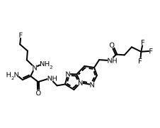 N/C=C(/C(=O)NCc1cn2ncc(CNC(=O)CCC(F)(F)F)cc2n1)N(N)CCCF